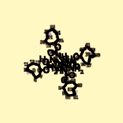 NC(NC(=O)OC1CC/C=C/CCC1)(NC(=O)OC1CC/C=C/CCC1)C(N)(N)C(N)(NC(=O)OC1CC/C=C/CCC1)NC(=O)OC1CC/C=C/CCC1